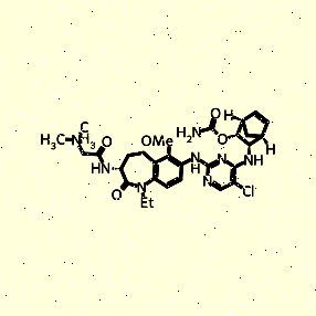 CCN1C(=O)[C@H](NC(=O)CN(C)C)CCc2c1ccc(Nc1ncc(Cl)c(N[C@H]3[C@@H](OC(N)=O)[C@@H]4C=C[C@H]3C4)n1)c2OC